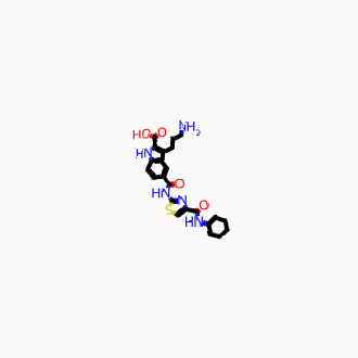 NCCCc1c(C(=O)O)[nH]c2ccc(C(=O)Nc3nc(C(=O)NC4CCCCC4)cs3)cc12